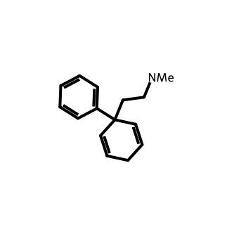 CNCCC1(c2ccccc2)C=CCC=C1